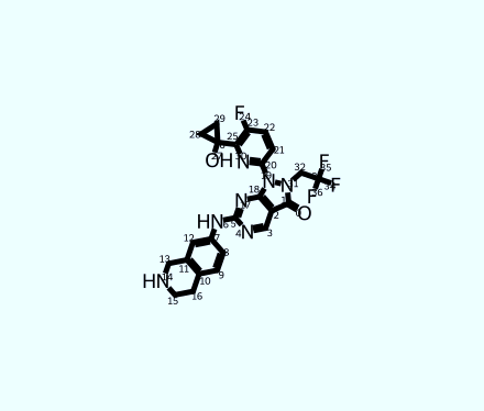 O=c1c2cnc(Nc3ccc4c(c3)CNCC4)nc2n(-c2ccc(F)c(C3(O)CC3)n2)n1CC(F)(F)F